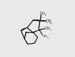 CC1(C)CC2CC3CCCC2(C3)C1(C)C